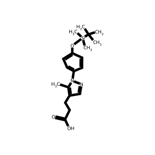 Cc1c(CCC(=O)O)cnn1-c1ccc(O[Si](C)(C)C(C)(C)C)cc1